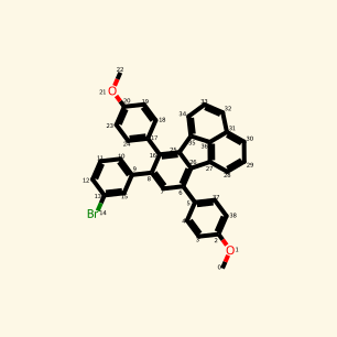 COc1ccc(-c2cc(-c3cccc(Br)c3)c(-c3ccc(OC)cc3)c3c2-c2cccc4cccc-3c24)cc1